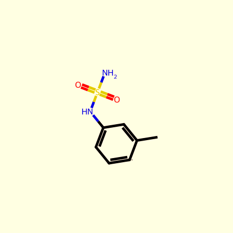 Cc1[c]ccc(NS(N)(=O)=O)c1